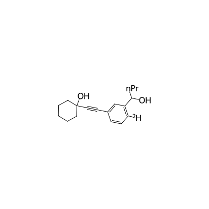 [2H]c1ccc(C#CC2(O)CCCCC2)cc1C(O)CCC